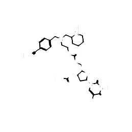 C#Cc1ccc(CN(CCOC(=O)OC[C@H]2O[C@@H](n3cc(C)c(=O)[nH]c3=O)C[C@@H]2OC(C)=O)CC2CCCCN2)cc1